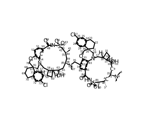 C[C@@H]1[C@@H](C)C[C@H](N(C)C)C[C@](C)(O)[C@@H]2CC[C@H]2CN2C[C@@]3(CCCc4cc(Cl)ccc43)COc3c(CN(C)[C@@H]4C[C@H](C)[C@@H](C)S(=O)(=O)NC(=O)c5ccc6c(c5)N(C[C@@H]5CC[C@H]5[C@](C)(O)C4)C[C@@]4(CCCc5cc(Cl)ccc54)CO6)cc(cc32)C(=O)NS1(=O)=O